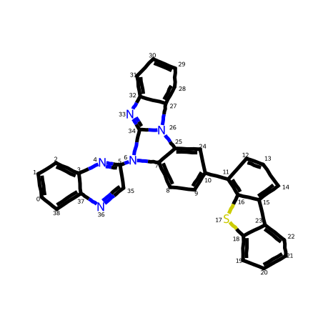 c1ccc2nc(-n3c4ccc(-c5cccc6c5sc5ccccc56)cc4n4c5ccccc5nc34)cnc2c1